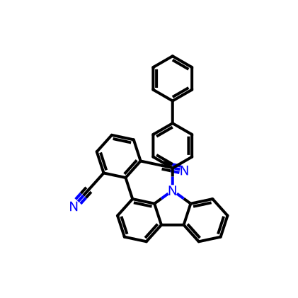 N#Cc1cccc(C#N)c1-c1cccc2c3ccccc3n(-c3ccc(-c4ccccc4)cc3)c12